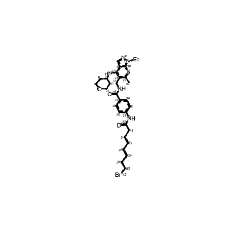 CCn1ncc2c(NC3CCOCC3)c(CNC(=O)c3ccc(NC(=O)CCCCCCCBr)cc3)c(C)nc21